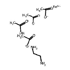 CC(=O)O.CC(=O)[O-].CC(=O)[O-].CC(=O)[O-].NCCN.[Fe+3]